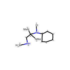 CCN(C1CCCCC1)C(CN[SiH3])(NC)NC